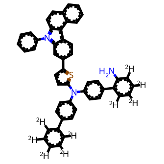 [2H]c1c([2H])c([2H])c(-c2ccc(N(c3ccc(-c4c([2H])c([2H])c([2H])c([2H])c4N)cc3)c3ccc(-c4ccc5c6c7ccccc7ccc6n(-c6ccccc6)c5c4)s3)cc2)c([2H])c1[2H]